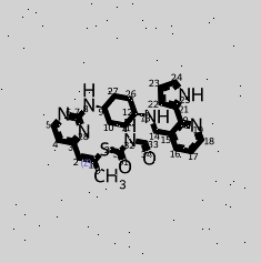 C/C(=C/c1ccnc(N[C@H]2CC[C@H](NCc3cccnc3-c3ccc[nH]3)CC2)n1)SC(=O)NC=O